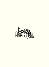 CC(C)(C)OC(=O)CC1CCN(S(=O)(=O)c2ccc3[nH]c(=O)c4[nH]cc(C(=O)O)c4c3c2)C1N